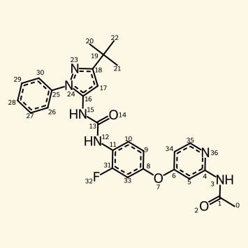 CC(=O)Nc1cc(Oc2ccc(NC(=O)Nc3cc(C(C)(C)C)nn3-c3ccccc3)c(F)c2)ccn1